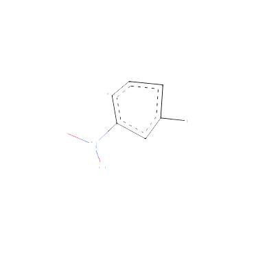 ON(O)c1cccc(C(F)(F)F)c1